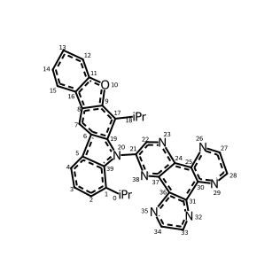 CC(C)c1cccc2c3cc4c(oc5ccccc54)c(C(C)C)c3n(-c3cnc4c5nccnc5c5nccnc5c4n3)c12